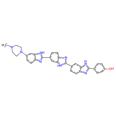 CN1CCN(c2ccc3nc(-c4ccc5nc(-c6ccc7nc(-c8ccc(O)cc8)[nH]c7c6)[nH]c5c4)[nH]c3c2)CC1